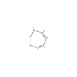 [C]1=CC=NOCC1